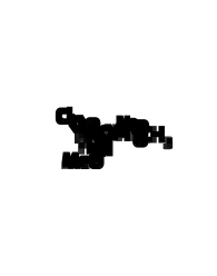 COc1ccc(C2CN(c3ccc(C4(NS(C)(=O)=O)CC4)nc3)CCC2NC(=O)Nc2ccc(Cl)cc2)nc1